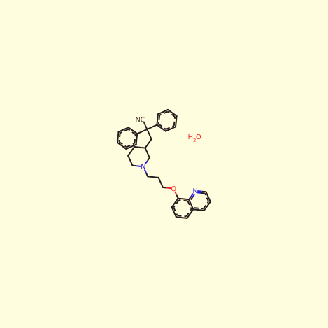 N#CC(CC1CCCN(CCCOc2cccc3cccnc23)C1)(c1ccccc1)c1ccccc1.O